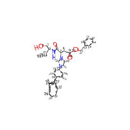 CC(C)(C)[C@@H](CO)NC(=O)C(CC(=O)OCc1ccccc1)N1C=CN(c2ccc(-c3ccccc3)cc2)C1